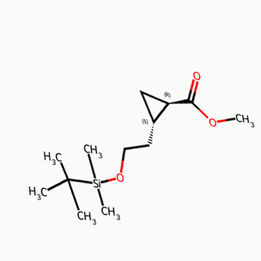 COC(=O)[C@@H]1C[C@H]1CCO[Si](C)(C)C(C)(C)C